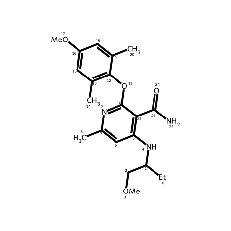 CCC(COC)Nc1cc(C)nc(Oc2c(C)cc(OC)cc2C)c1C(N)=O